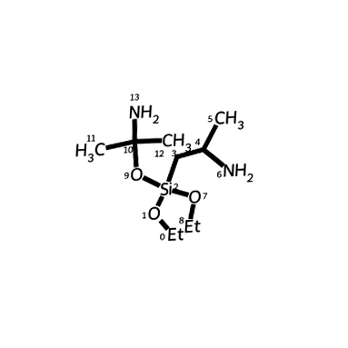 CCO[Si](CC(C)N)(OCC)OC(C)(C)N